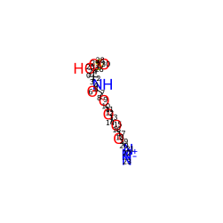 CC(C)(CNC(=O)CCOCCOCCOCCOCCN=[N+]=[N-])C(O)CS(C)(=O)=O